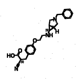 N#C[C@H](Cc1ccc(OCCN[C@H]2C3CN(Cc4ccccc4)C[C@@H]32)cc1)C(=O)O